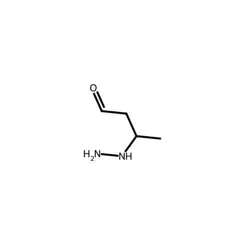 CC(CC=O)NN